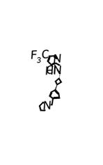 FC(F)(F)c1cnc(CNC[C@H]2C[C@H](c3ccc(CN4CCCC4)cc3)C2)c(Cl)c1